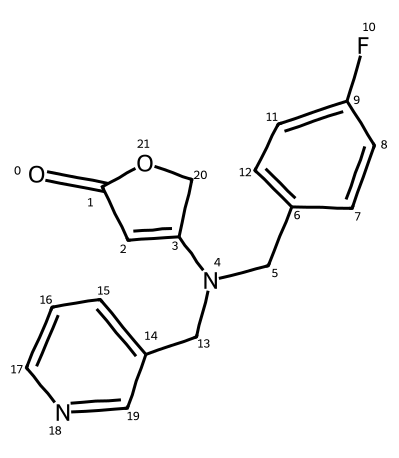 O=C1C=C(N(Cc2ccc(F)cc2)Cc2cccnc2)CO1